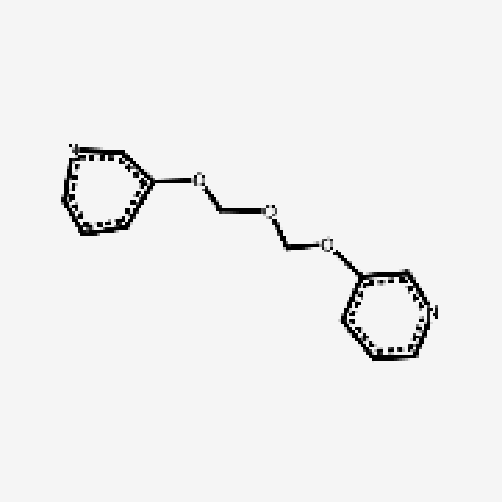 c1cncc(OCOCOc2cccnc2)c1